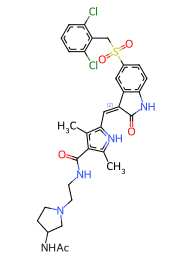 CC(=O)NC1CCN(CCNC(=O)c2c(C)[nH]c(/C=C3\C(=O)Nc4ccc(S(=O)(=O)Cc5c(Cl)cccc5Cl)cc43)c2C)C1